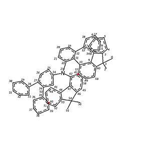 CC1(C)c2ccccc2-c2c(-c3c(-c4ccccc4)cccc3N(c3ccc(-c4ccccc4)c(-c4ccccc4)c3)c3cccc4c3-c3ccccc3C4(C)C)cccc21